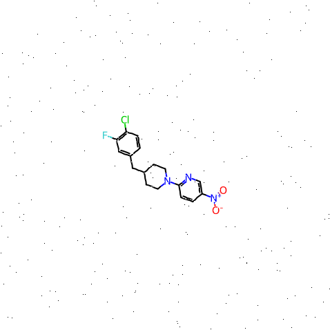 O=[N+]([O-])c1ccc(N2CCC(Cc3ccc(Cl)c(F)c3)CC2)nc1